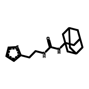 O=C(NCCc1cccs1)NC12CC3CC(CC(C3)C1)C2